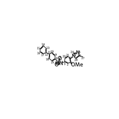 COc1cc(NS(=O)(=O)c2ccc(-c3ccccc3)cc2)ccc1-n1cnc(C)c1